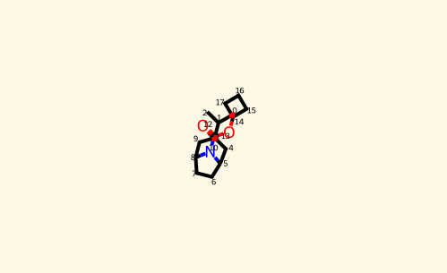 CC(C)C1CC2CCC(C1)N2C(=O)OC1CCC1